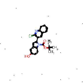 CC(C)(C)OC(=O)n1c(-c2cc3ccccc3nc2Cl)cc2cc(O)ccc21